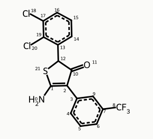 NC1=C(c2cccc(C(F)(F)F)c2)C(=O)C(c2cccc(Cl)c2Cl)S1